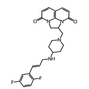 O=c1ccc2ccc(=O)n3c2n1CC3CN1CCC(NCC=Cc2cc(F)ccc2F)CC1